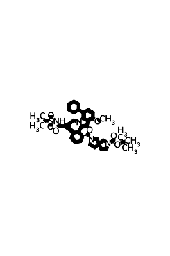 COc1ccc(C2CCCCC2)c2c1cc1n2CC2=C(C(=O)NS(=O)(=O)C(C)C)C2=C2C=CC[C@@H](C(=O)N3CCC4(CCN(C(=O)OC(C)(C)C)C4)C3)C21